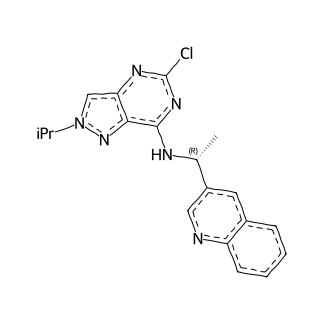 CC(C)n1cc2nc(Cl)nc(N[C@H](C)c3cnc4ccccc4c3)c2n1